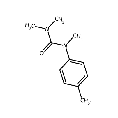 [CH2]c1ccc(N(C)C(=O)N(C)C)cc1